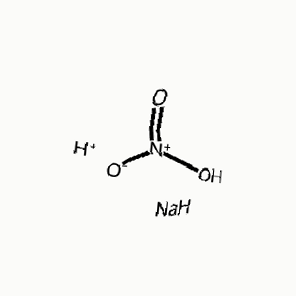 O=[N+]([O-])O.[H+].[NaH]